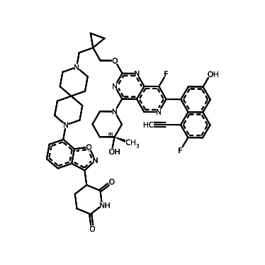 C#Cc1c(F)ccc2cc(O)cc(-c3ncc4c(N5CCC[C@@](C)(O)C5)nc(OCC5(CN6CCC7(CC6)CCN(c6cccc8c(C9CCC(=O)NC9=O)noc68)CC7)CC5)nc4c3F)c12